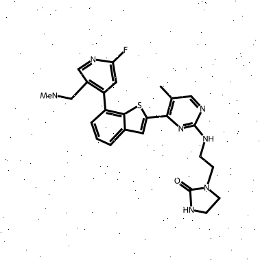 CNCc1cnc(F)cc1-c1cccc2cc(-c3nc(NCCN4CCNC4=O)ncc3C)sc12